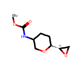 CC(C)(C)OC(=O)NC1CCC([C@@H]2CO2)OC1